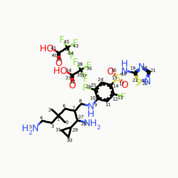 CC(C)(CCN)CC(CNc1cc(F)c(S(=O)(=O)Nc2ncns2)cc1F)C(N)C1CC1.O=C(O)C(F)(F)F.O=C(O)C(F)(F)F